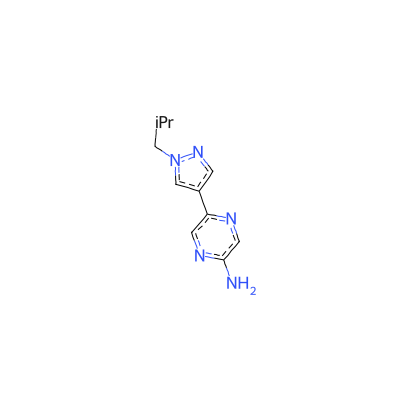 CC(C)Cn1cc(-c2cnc(N)cn2)cn1